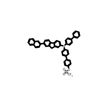 O=S(=O)(Oc1ccc(-c2ccc(N(c3ccc(-c4ccccc4)cc3)c3ccc4c(c3)Cc3cc(-c5ccc6ccccc6c5)ccc3-4)cc2)cc1)C(F)(F)F